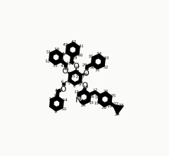 c1ccc(COC[C@H]2C[C@@H](Oc3cnccc3Cc3ccc(C4CC4)cc3)[C@H](OCc3ccccc3)[C@@H](OCc3ccccc3)[C@@H]2OCc2ccccc2)cc1